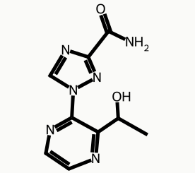 CC(O)c1nccnc1-n1cnc(C(N)=O)n1